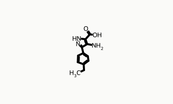 CCc1ccc(-c2n[nH]c(C(=O)O)c2N)cc1